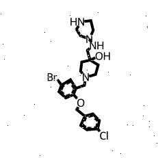 OC1(CNN2CCNCC2)CCN(Cc2cc(Br)ccc2OCc2ccc(Cl)cc2)CC1